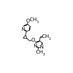 C=Cc1cnc(C)nc1OCC1CC1c1ccc(OC)cn1